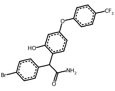 NC(=O)C(c1ccc(Br)cc1)c1ccc(Oc2ccc(C(F)(F)F)cc2)cc1O